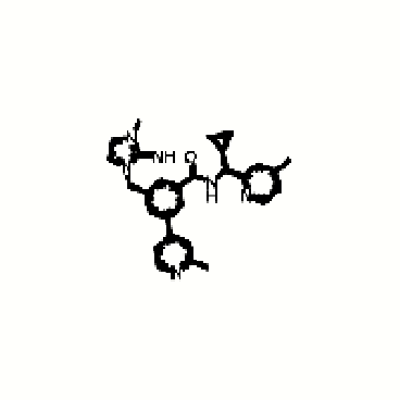 Cc1ccnc(C(NC(=O)c2cc(Cn3ccn(C)c3=N)cc(-c3ccnc(C)c3)c2)C2CC2)c1